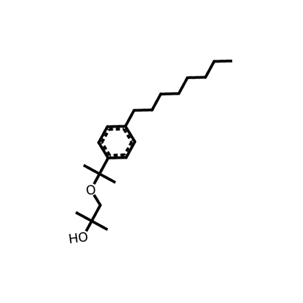 CCCCCCCCc1ccc(C(C)(C)OCC(C)(C)O)cc1